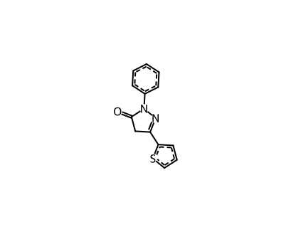 O=C1CC(c2cccs2)=NN1c1ccccc1